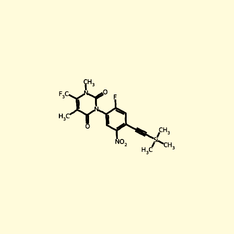 Cc1c(C(F)(F)F)n(C)c(=O)n(-c2cc([N+](=O)[O-])c(C#C[Si](C)(C)C)cc2F)c1=O